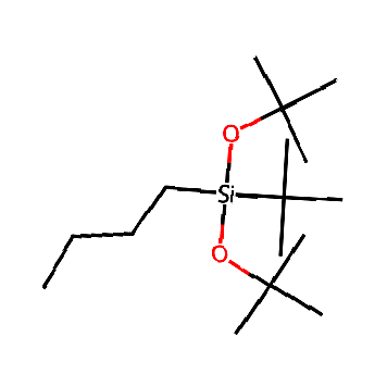 CCCC[Si](OC(C)(C)C)(OC(C)(C)C)C(C)(C)C